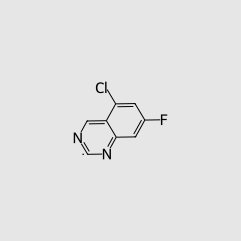 Fc1cc(Cl)c2cn[c]nc2c1